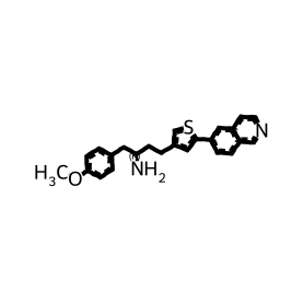 COc1ccc(C[C@H](N)CCc2csc(-c3ccc4cnccc4c3)c2)cc1